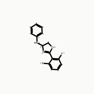 Fc1cccc(F)c1C1=NC(Nc2ccccc2)CO1